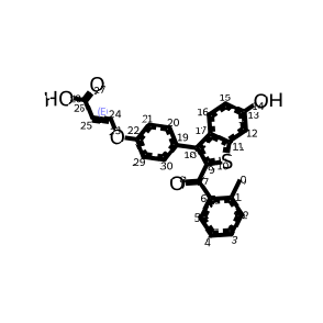 Cc1ccccc1C(=O)c1sc2cc(O)ccc2c1-c1ccc(O/C=C/C(=O)O)cc1